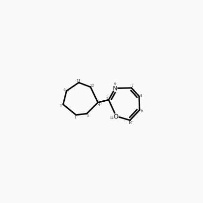 [CH]1CCCC(C2=NC=CC=CO2)CC1